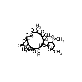 C=CC12COC(=O)C(C)C(=O)C(C)C(O[C@H]3C(O)O[C@H](C)C[C@@H]3N(C)C)C(C)CC(C)C(=O)C(C)C1N(OC)C(=O)O2